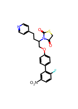 O=C1CSC(=O)N1C(CCc1ccncc1)COc1ccc(-c2cc([N+](=O)[O-])ccc2F)cc1